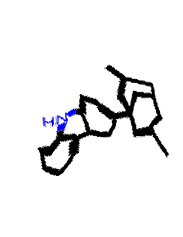 CC1CC2CC(C)CC(c3ccc4[nH]c5ccccc5c4c3)(C1)C2